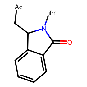 CC(=O)CC1c2ccccc2C(=O)N1C(C)C